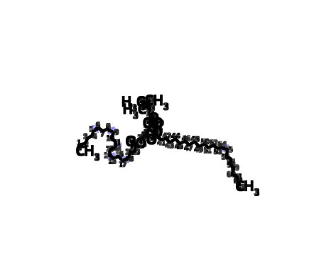 CCCCC/C=C\C/C=C\C/C=C\C/C=C\C/C=C\CCC(=O)OC[C@H](COP(=O)([O-])OCC[N+](C)(C)C)OC(=O)CCCCCCCCCCCCC/C=C\CCCCCCCC